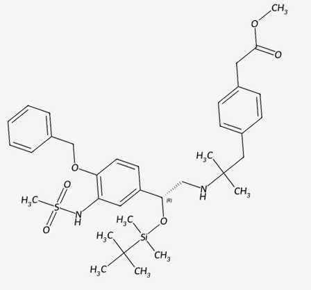 COC(=O)Cc1ccc(CC(C)(C)NC[C@H](O[Si](C)(C)C(C)(C)C)c2ccc(OCc3ccccc3)c(NS(C)(=O)=O)c2)cc1